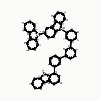 c1cc(-c2cccc(-c3cccc4c3sc3ccccc34)c2)cc(-c2cccc(-n3c4ccccc4c4cc(-n5c6ccccc6c6ccccc65)ccc43)c2)c1